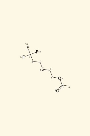 CC(=O)OCCSCCC(F)(F)F